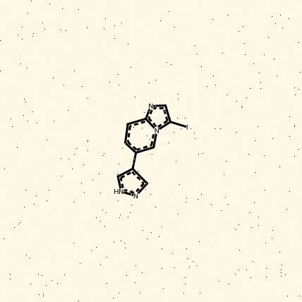 Ic1cnc2ccc(-c3cn[nH]c3)cn12